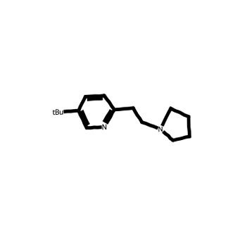 CC(C)(C)c1ccc(CCN2CCCC2)nc1